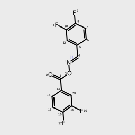 O=C(O/N=C/c1ccc(F)c(F)c1)c1ccc(F)c(F)c1